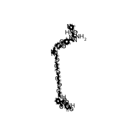 Nc1ncc(-c2ccc(S(=O)(=O)N3CCN(Cc4cn(CCOCCOCCOCCOCCOCCOCCNc5cccc6c5C(=O)N(C5CCC(=O)NC5=O)C6=O)nn4)CC3)cc2)nc1C(=O)Nc1cccnc1